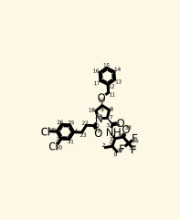 CC(C)C(NC(=O)[C@@H]1C[C@@H](OCc2ccccc2)CN1C(=O)CCc1ccc(Cl)c(Cl)c1)C(=O)C(F)(F)F